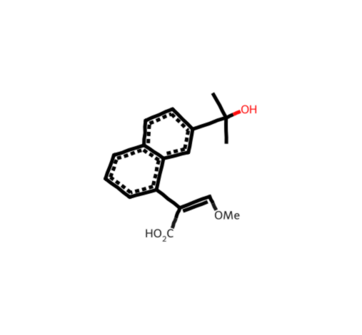 COC=C(C(=O)O)c1cccc2ccc(C(C)(C)O)cc12